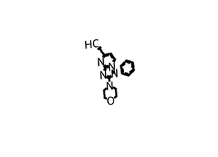 C#Cc1ccn2nc(N3CCOCC3)nc2n1.c1ccccc1